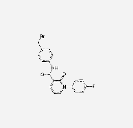 O=C(Nc1ccc(CBr)cc1)c1cccn(-c2ccc(F)cc2)c1=O